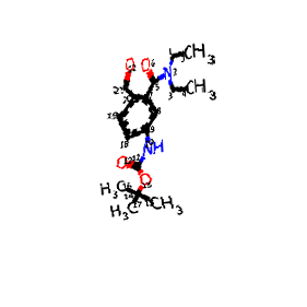 CCN(CC)C(=O)c1cc(NC(=O)OC(C)(C)C)ccc1C=O